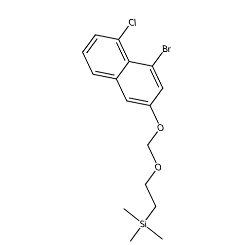 C[Si](C)(C)CCOCOc1cc(Br)c2c(Cl)cccc2c1